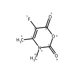 Cc1c(F)c(=O)oc(=O)n1C